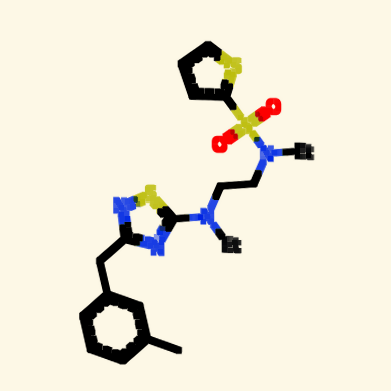 CCN(CCN(CC)S(=O)(=O)c1cccs1)c1nc(Cc2cccc(C)c2)ns1